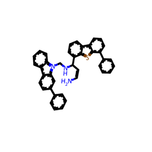 N/C=C\C(NCn1c2ccccc2c2ccc(-c3ccccc3)cc21)c1cccc2c1sc1c(-c3ccccc3)cccc12